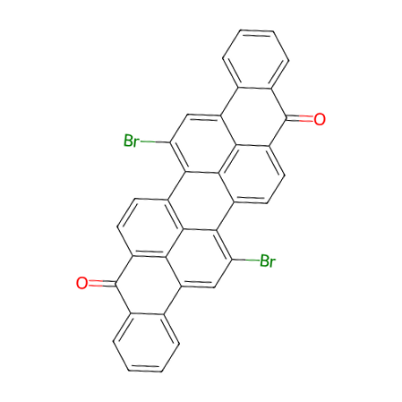 O=C1c2ccccc2-c2cc(Br)c3c4ccc5c6c(cc(Br)c(c7ccc1c2c73)c64)-c1ccccc1C5=O